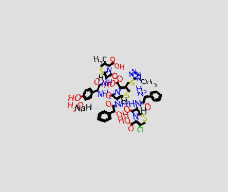 CC1=C(C(=O)O)N2C(=O)[C@@H](NC(=O)[C@H](N)c3ccc(O)cc3)[C@H]2SC1.Cn1nnnc1SCC1=C(C(=O)O)N2C(=O)[C@@H](NC(=O)[C@H](O)c3ccccc3)[C@H]2SC1.N[C@@H](C(=O)N[C@@H]1C(=O)N2C(C(=O)O)=C(Cl)CS[C@H]12)c1ccccc1.O.[NaH]